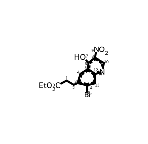 CCOC(=O)CCc1cc2c(O)c([N+](=O)[O-])cnc2cc1Br